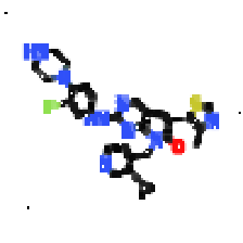 Cc1ncsc1-c1cc2cnc(Nc3ccc(N4CCNCC4)c(F)c3)nc2n(Cc2ccncc2C2CC2)c1=O